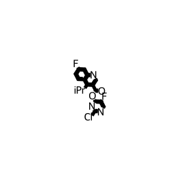 CC(C)c1c(C(=O)Oc2nc(Cl)ncc2F)cnc2cc(F)ccc12